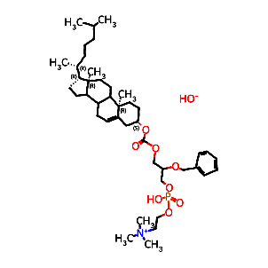 CC(C)CCC[C@@H](C)[C@H]1CCC2C3CC=C4C[C@@H](OC(=O)OCC(COP(=O)(O)OCC[N+](C)(C)C)OCc5ccccc5)CC[C@]4(C)C3CC[C@@]21C.[OH-]